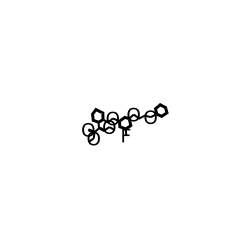 CO/C=C(/C(=O)OC)c1ccccc1COc1cc(F)cc(OCCOc2ccccc2)c1